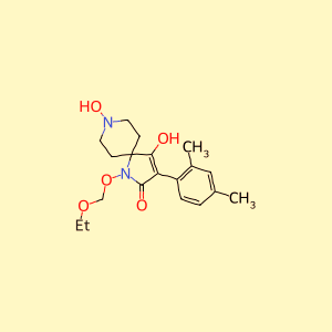 CCOCON1C(=O)C(c2ccc(C)cc2C)=C(O)C12CCN(O)CC2